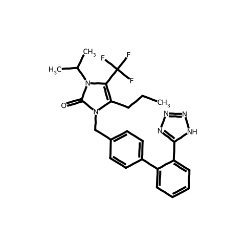 CCCc1c(C(F)(F)F)n(C(C)C)c(=O)n1Cc1ccc(-c2ccccc2-c2nnn[nH]2)cc1